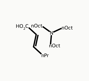 CCCC=CC(=O)O.CCCCCCCCN(CCCCCCCC)CCCCCCCC